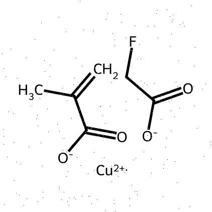 C=C(C)C(=O)[O-].O=C([O-])CF.[Cu+2]